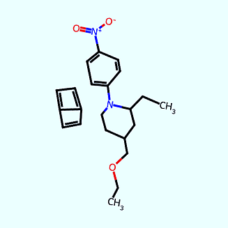 CCOCC1CCN(c2ccc([N+](=O)[O-])cc2)C(CC)C1.c1cc2ccc1-2